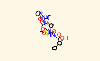 CCC(C)C(NC(=O)C1CCCCN1C)C(=O)N(Cc1ccccc1)[C@H](C[C@@H](OC(C)=O)c1nc(C(=O)NCC[C@@H](C(=O)O)c2cc(-c3ccccc3)ccc2C)cs1)C(C)C